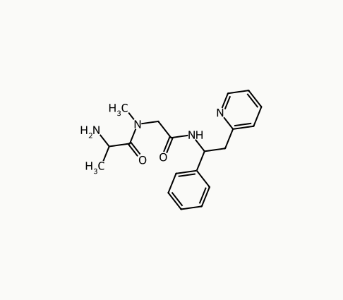 CC(N)C(=O)N(C)CC(=O)NC(Cc1ccccn1)c1ccccc1